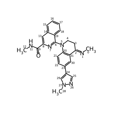 CN=C1CCN(c2nc(C(=O)NC)cc3ccccc23)c2ccc(-c3cnn(C)c3)cc21